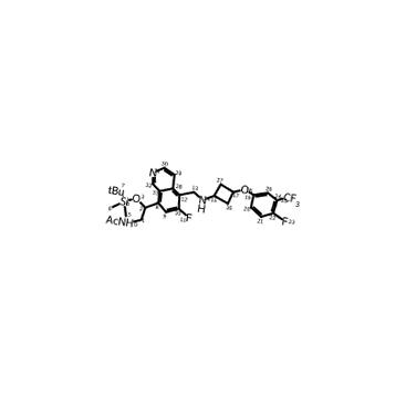 CC(=O)NCC(O[Si](C)(C)C(C)(C)C)c1cc(F)c(CNC2CC(Oc3ccc(F)c(C(F)(F)F)c3)C2)c2ccncc12